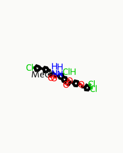 COC(=O)[C@H](Cc1ccc(-c2ccc(Cl)cc2)cc1)NC(=O)C1Cc2cc3c(cc2CN1)O[C@@H](c1ccc(OCc2ccc(Cl)c(Cl)c2)cc1)CO3.Cl